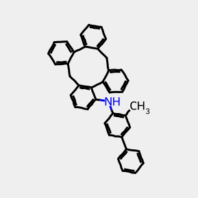 Cc1cc(-c2ccccc2)ccc1Nc1cccc2c1-c1ccccc1Cc1ccccc1-c1ccccc1C2